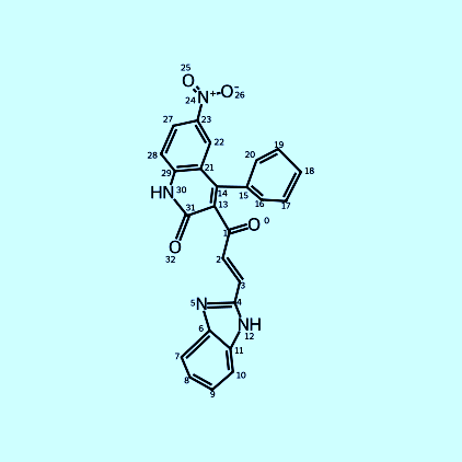 O=C(/C=C/c1nc2ccccc2[nH]1)c1c(-c2ccccc2)c2cc([N+](=O)[O-])ccc2[nH]c1=O